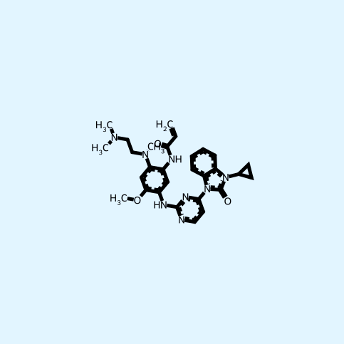 C=CC(=O)Nc1cc(Nc2nccc(-n3c(=O)n(C4CC4)c4ccccc43)n2)c(OC)cc1N(C)CCN(C)C